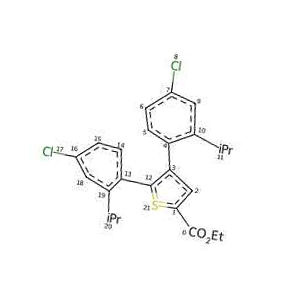 CCOC(=O)c1cc(-c2ccc(Cl)cc2C(C)C)c(-c2ccc(Cl)cc2C(C)C)s1